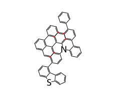 c1ccc(-c2ccc(-c3ccccc3N(c3ccc(-c4cccc5sc6ccccc6c45)cc3)c3ccccc3-c3cccc4cccc(-c5ccccc5)c34)cc2)cc1